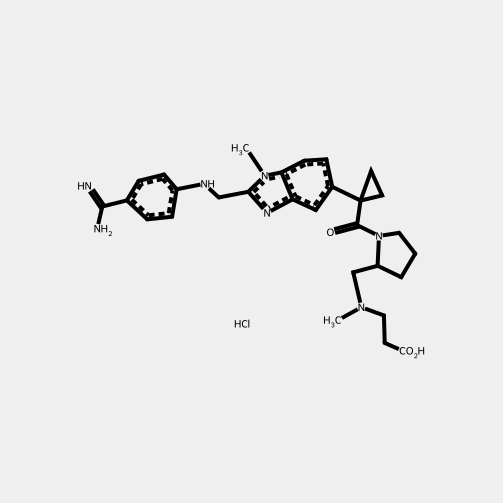 CN(CCC(=O)O)CC1CCCN1C(=O)C1(c2ccc3c(c2)nc(CNc2ccc(C(=N)N)cc2)n3C)CC1.Cl